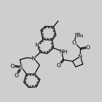 Cc1ccc2nc(N3CCS(=O)(=O)c4ccccc4C3)cc(NC(=O)C3CCN3C(=O)OC(C)(C)C)c2c1